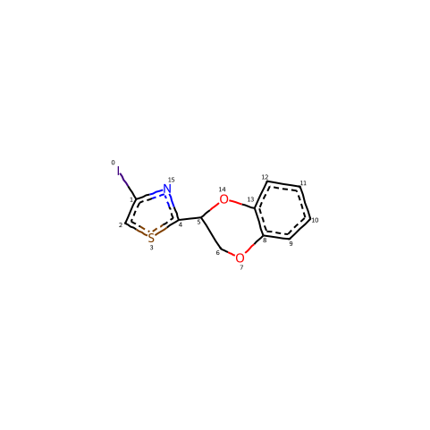 Ic1csc(C2COc3ccccc3O2)n1